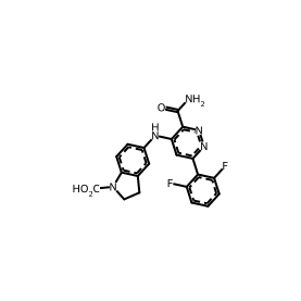 NC(=O)c1nnc(-c2c(F)cccc2F)cc1Nc1ccc2c(c1)CCN2C(=O)O